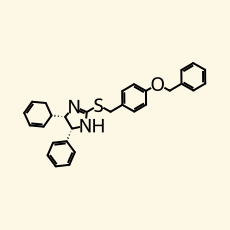 C1=CCC([C@@H]2N=C(SCc3ccc(OCc4ccccc4)cc3)N[C@@H]2c2ccccc2)C=C1